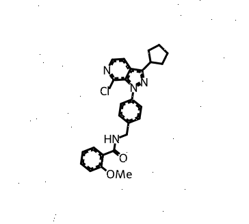 COc1ccccc1C(=O)NCc1ccc(-n2nc(C3CCCC3)c3ccnc(Cl)c32)cc1